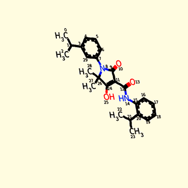 CC(C)c1cccc(N2C(=O)C(C(=O)Nc3ccccc3C(C)C)=C(O)C2(C)C)c1